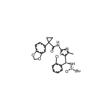 Cc1nc(NC(=O)C2(c3ccc4c(c3)OCO4)CC2)sc1[C@@H](N[S@+]([O-])C(C)(C)C)c1ccccc1Cl